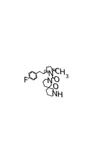 C[C@@H]1CC[C@H](CCc2ccc(F)cc2)N1C(=O)N1CCCC2(CCCNC2=O)C1